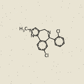 Cn1cc2c(n1)-c1ccc(Cl)cc1C(c1ccccc1Cl)=NC2